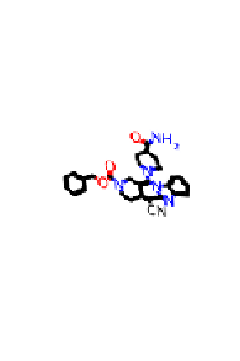 N#Cc1c2c(c(N3CCC(C(N)=O)CC3)n3c1nc1ccccc13)CN(C(=O)OCc1ccccc1)CC2